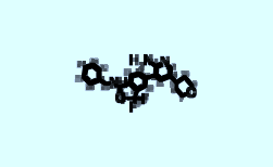 Nc1ncc(C2CCOCC2)cc1-c1ccc(C(=O)NCc2ccccc2)c(C(F)(F)F)c1